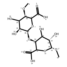 CO[C@H]1C(C(=O)O)O[C@@H](O[C@@H]2C(C(=O)O)O[C@@H](OC)[C@@H](O)C2O)[C@@H](O)C1O